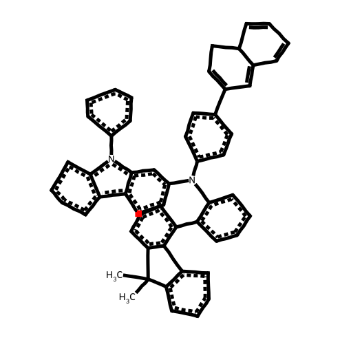 CC1(C)c2ccccc2-c2c(-c3ccccc3N(c3ccc(C4=CCC5C=CC=CC5=C4)cc3)c3ccc4c5ccccc5n(-c5ccccc5)c4c3)cccc21